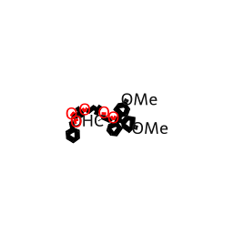 COc1ccc(C(OC[C@H](C=O)OC(C)(C)CCOC(C)(C)C(=O)OCc2ccccc2)(c2ccccc2)c2ccc(OC)cc2)cc1